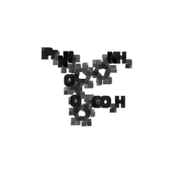 CC(C)Cn1cc(-c2cc(-c3cccc(CN)c3)cc3c(COc4ccccc4CC(=O)O)coc23)cn1